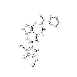 O=C(c1ccccc1)N1CC2=C3C(=CN([C@@H]4O[C@H](CO)[C@@H](O)[C@H]4F)N=C3C=N1)CC2